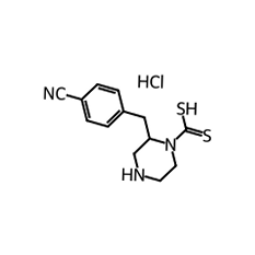 Cl.N#Cc1ccc(CC2CNCCN2C(=S)S)cc1